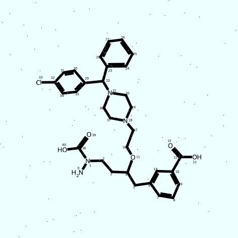 NN(CCC(Cc1cccc(C(=O)O)c1)OCCN1CCN(C(c2ccccc2)c2ccc(Cl)cc2)CC1)C(=O)O